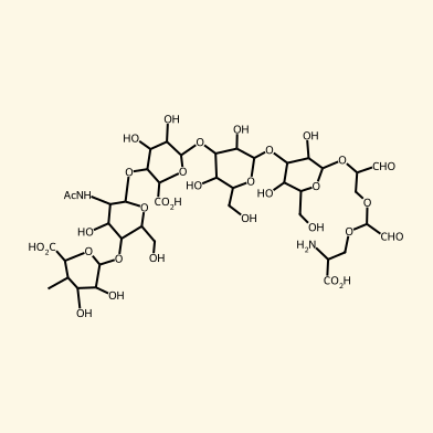 CC(=O)NC1C(OC2C(C(=O)O)OC(OC3C(O)C(CO)OC(OC4C(O)C(CO)OC(OC(C=O)COC(C=O)OCC(N)C(=O)O)C4O)C3O)C(O)C2O)OC(CO)C(OC2OC(C(=O)O)C(C)C(O)C2O)C1O